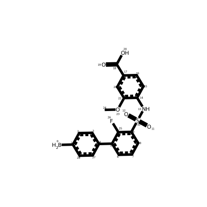 Bc1ccc(-c2cccc(S(=O)(=O)Nc3ccc(C(=O)O)cc3OC)c2F)cc1